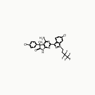 CC1(c2ccc(Cl)cc2)C(=O)Nc2nc(-c3nn(CCC(F)(F)C(F)(F)F)c4cc(Cl)ccc34)nc(N)c21